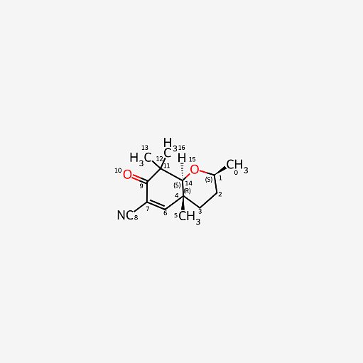 C[C@H]1CC[C@]2(C)C=C(C#N)C(=O)C(C)(C)[C@H]2O1